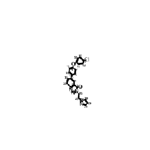 O=c1c2cc(-c3ccc(Oc4ccc(Cl)cc4)cc3)ccc2nnn1CCn1cccn1